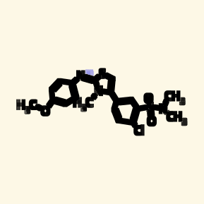 COc1ccc(/N=c2/scc(-c3ccc(Cl)c(S(=O)(=O)N(C)C)c3)n2C)cc1